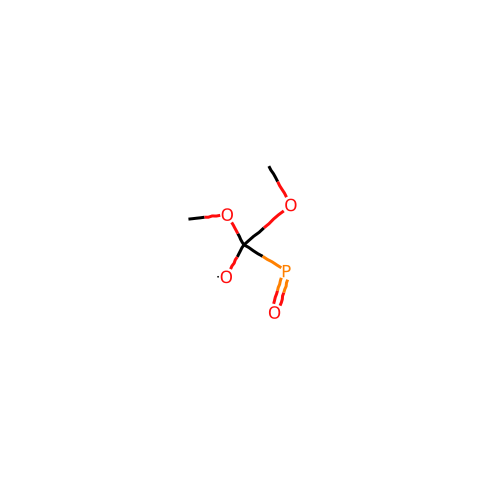 COC([O])(OC)P=O